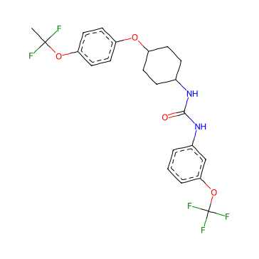 CC(F)(F)Oc1ccc(OC2CCC(NC(=O)Nc3cccc(OC(F)(F)F)c3)CC2)cc1